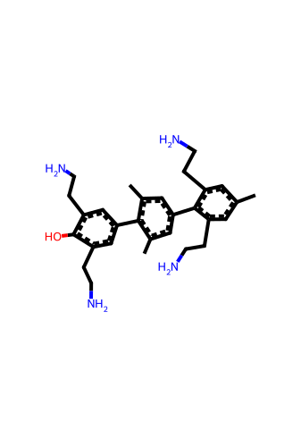 Cc1cc(CCN)c(-c2cc(C)c(-c3cc(CCN)c(O)c(CCN)c3)c(C)c2)c(CCN)c1